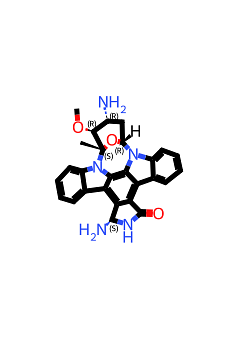 CO[C@@H]1[C@H](N)C[C@H]2O[C@]1(C)n1c3ccccc3c3c4c(c5c6ccccc6n2c5c31)C(=O)N[C@@H]4N